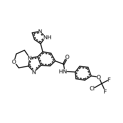 O=C(Nc1ccc(OC(F)(F)Cl)cc1)c1cc(-c2ccn[nH]2)c2c(c1)nc1n2CCOC1